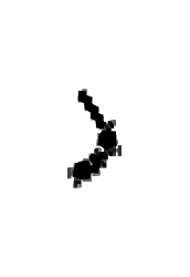 CCCCCCCCN(C)c1ccc(Nc2nc(Cc3ccc(F)c(F)c3)cs2)cc1